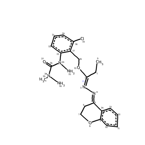 CC/C(=N\N=C1CCOc2ccccc21)OCc1c(Cl)cccc1N(N)C(=O)N(C)N